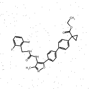 CCOC(=O)C1(c2ccc(-c3ccc(-c4onc(C)c4NC(=O)NCc4c(F)cccc4F)cc3)cc2)CC1